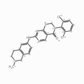 CN1CCc2cc(Nc3ncc4c(n3)SCN(c3c(Cl)cccc3Cl)C4=O)ccc2C1